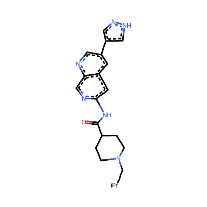 CC(C)CN1CCC(C(=O)Nc2cc3cc(-c4cn[nH]c4)cnc3cn2)CC1